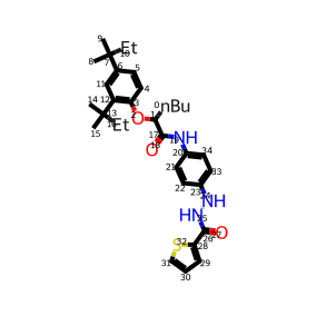 CCCCC(Oc1ccc(C(C)(C)CC)cc1C(C)(C)CC)C(=O)Nc1ccc(NNC(=O)c2cccs2)cc1